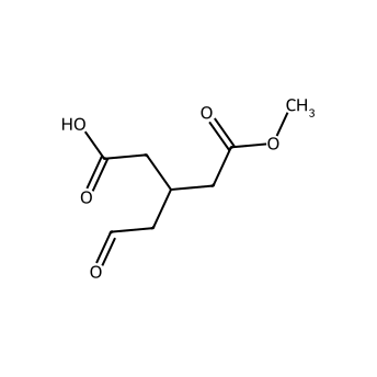 COC(=O)CC(CC=O)CC(=O)O